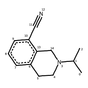 CC(C)N1CCc2cccc(C#N)c2C1